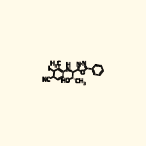 Cc1c(N[C@@H](c2nnc(-c3ccccc3)o2)[C@H](C)O)ccc(C#N)c1I